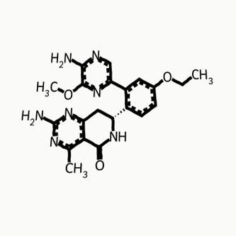 CCOc1ccc([C@H]2Cc3nc(N)nc(C)c3C(=O)N2)c(-c2cnc(N)c(OC)n2)c1